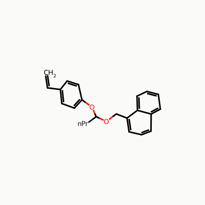 C=Cc1ccc(OC(CCC)OCc2cccc3ccccc23)cc1